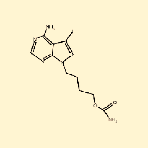 NC(=O)OCCCCn1nc(I)c2c(N)ncnc21